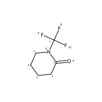 O=C1CCCCN1C(F)(F)F